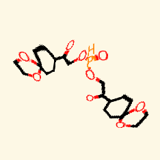 O=C(CO[PH](=O)OCC(=O)C1CCC2(CC1)OCCO2)C1CCC2(CC1)OCCO2